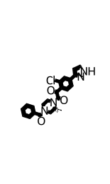 C[C@@H]1CN(C(=O)c2ccccc2)CCN1C(=O)C(=O)c1ccc(-c2cc[nH]n2)cc1Cl